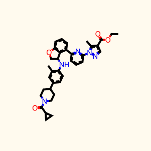 CCOC(=O)c1cnn(-c2cccc(-c3cccc4c3C(Nc3ccc(C5CCN(C(=O)C6CC6)CC5)cc3C)CO4)n2)c1C